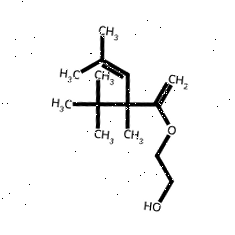 C=C(OCCO)C(C)(C=C(C)C)C(C)(C)C